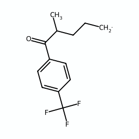 [CH2]CCC(C)C(=O)c1ccc(C(F)(F)F)cc1